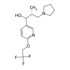 C[C@H](CN1CCCC1)C(O)c1ccc(OCC(F)(F)F)nc1